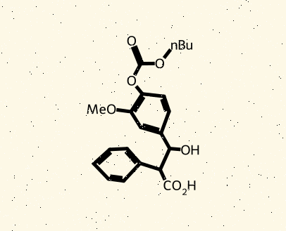 CCCCOC(=O)Oc1ccc(C(O)C(C(=O)O)c2ccccc2)cc1OC